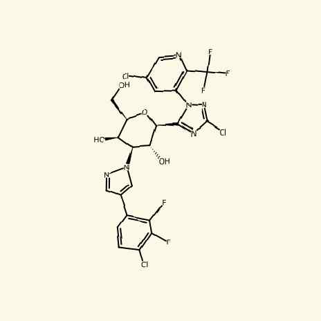 OC[C@H]1O[C@@H](c2nc(Cl)nn2-c2cc(Cl)cnc2C(F)(F)F)[C@H](O)[C@@H](n2cc(-c3ccc(Cl)c(F)c3F)cn2)[C@H]1O